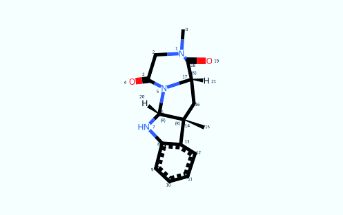 CN1CC(=O)N2[C@H]3Nc4ccccc4[C@@]3(C)C[C@H]2C1=O